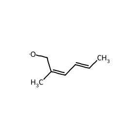 CC=CC=C(C)C[O]